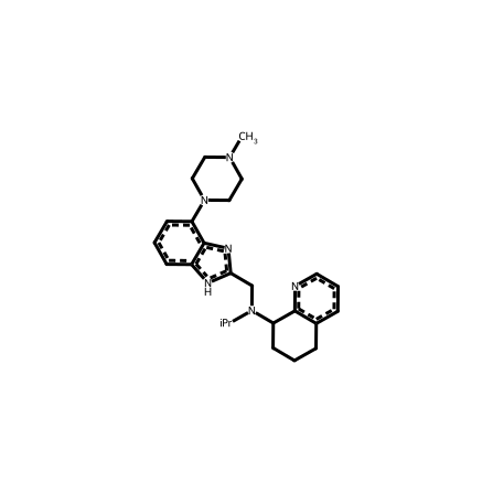 CC(C)N(Cc1nc2c(N3CCN(C)CC3)cccc2[nH]1)C1CCCc2cccnc21